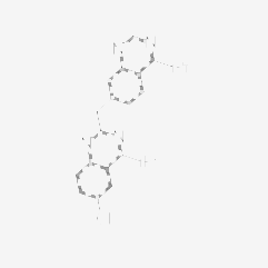 Cc1ccc2nc(Cc3ccc4c(C(C)C)ncnc4c3)nc(C(C)C)c2c1